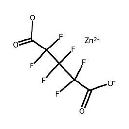 O=C([O-])C(F)(F)C(F)(F)C(F)(F)C(=O)[O-].[Zn+2]